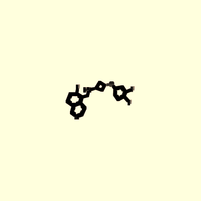 Fc1ccc(O[C@H]2C[C@H](NCc3c(F)ccc4cnccc34)C2)cc1F